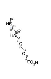 O=C(O)CCOCCOCCNC(=O)/C=C/BI